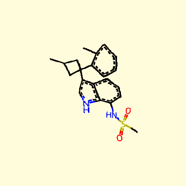 Cc1ccccc1C1(c2c[nH]c3c(NS(C)(=O)=O)cccc23)CC(C)C1